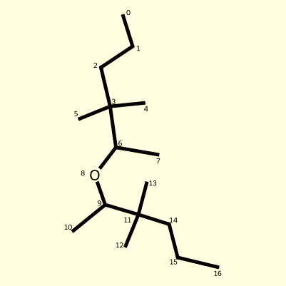 CCCC(C)(C)C(C)OC(C)C(C)(C)CCC